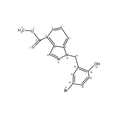 COC(=O)c1cccc2c1cnn2Cc1cc(Br)ccc1O